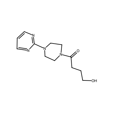 O=C(CCCO)N1CCN(c2ncccn2)CC1